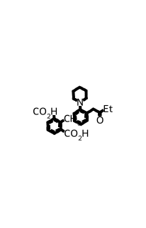 CCC(=O)Cc1ccccc1N1CCCCC1.Cc1c(C(=O)O)cccc1C(=O)O